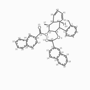 Cc1ccccc1C1C(OC(=O)c2ccc3ccccc3c2)C(OC(=O)c2ccc3ccccc3c2)[C@@H](C)C2C=CC=C[C@H]12